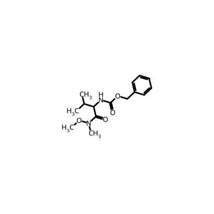 CON(C)C(=O)C(NC(=O)OCc1ccccc1)C(C)C